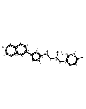 Cc1ccc(C[C@H](N)CNc2ncc(-c3ccc4cnccc4c3)s2)cn1